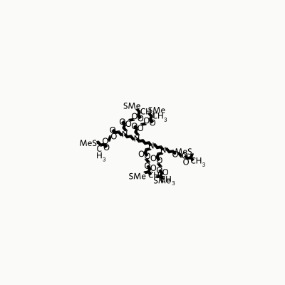 CSCC(C)C(=O)OCCOCCCN(CCCN(CCCCN(CCCN(CCC(=O)OCCOC(=O)C(C)CSC)CCC(=O)OCCOC(=O)C(C)CSC)CCC(=O)OCCOC(=O)C(C)CSC)CCC(=O)OCCOC(=O)C(C)CSC)CCC(=O)OCCOC(=O)C(C)CSC